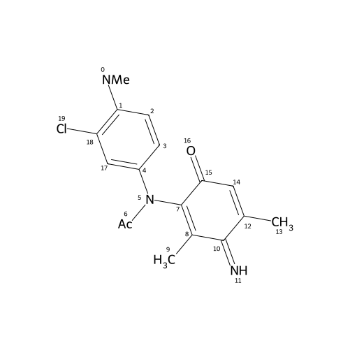 CNc1ccc(N(C(C)=O)C2=C(C)C(=N)C(C)=CC2=O)cc1Cl